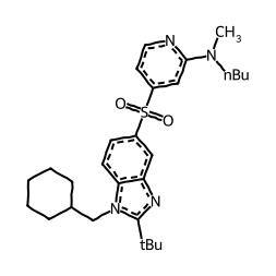 CCCCN(C)c1cc(S(=O)(=O)c2ccc3c(c2)nc(C(C)(C)C)n3CC2CCCCC2)ccn1